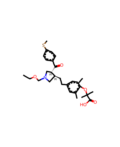 CCOCN1C[C@H](CCc2cc(C)c(OC(C)(C)C(=O)O)c(C)c2)[C@@H](C(=O)c2ccc(SC)cc2)C1